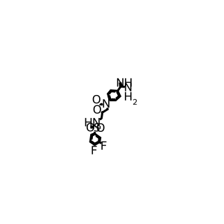 N=C(N)c1ccc(N2CC(CNS(=O)(=O)c3ccc(F)c(F)c3)OC2=O)cc1